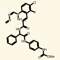 C=N/N=C\N(N)c1ccc(Cl)c(F)c1/C=C/C(=O)NC(C(=O)Nc1ccc(NC(=O)OC)cc1)c1ccccc1